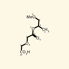 COCC(C)OC(=O)COCC(=O)O